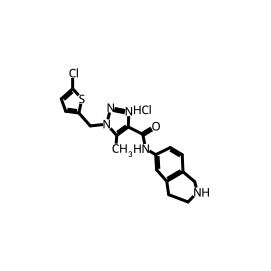 Cc1c(C(=O)Nc2ccc3c(c2)CCNC3)nnn1Cc1ccc(Cl)s1.Cl